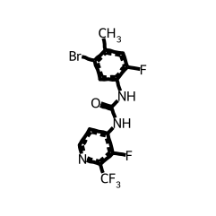 Cc1cc(F)c(NC(=O)Nc2ccnc(C(F)(F)F)c2F)cc1Br